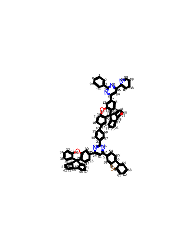 c1ccc(-c2nc(-c3ccc4c(c3)Oc3ccc(-c5ccc(-c6nc(-c7ccc8c(c7)Oc7ccccc7C87c8ccccc8-c8ccccc87)cc(-c7ccc8c(c7)sc7ccccc78)n6)cc5)cc3C43c4ccccc4-c4ccccc43)cc(-c3ccccn3)n2)cc1